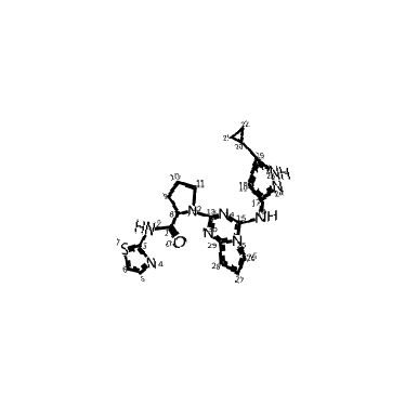 O=C(Nc1nccs1)C1CCCN1c1nc(Nc2cc(C3CC3)[nH]n2)n2cccc2n1